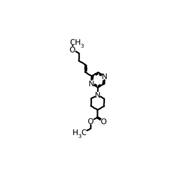 CCOC(=O)C1CCN(c2cncc(/C=C/CCOC)n2)CC1